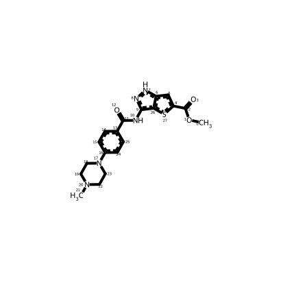 COC(=O)c1cc2[nH]nc(NC(=O)c3ccc(N4CCN(C)CC4)cc3)c2s1